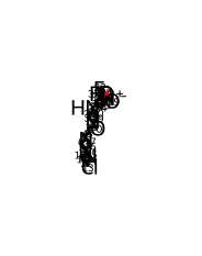 O=C(CCCN1CCN(c2ccc(Cl)cn2)CC1)N1CCC(Nc2ccc([N+](=O)[O-])c(C(F)(F)F)c2)CC1